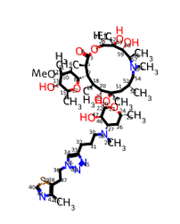 CC[C@H]1OC(=O)[C@H](C)[C@@H](C2C[C@@](C)(OC)[C@@H](O)[C@H](C)O2)[C@H](C)[C@@H](O[C@@H]2O[C@H](C)C[C@H](N(C)CCCc3cn(CCc4scnc4C)nn3)[C@H]2O)[C@](C)(O)C[C@@H](C)CN(C)[C@H](C)[C@@H](O)[C@]1(C)O